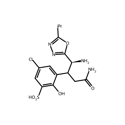 CC(C)c1nnc([C@@H](N)C(CC(N)=O)c2cc(Cl)cc(S(=O)(=O)O)c2O)o1